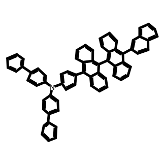 c1ccc(-c2ccc(N(c3ccc(-c4ccccc4)cc3)c3ccc(-c4c5ccccc5c(-c5c6ccccc6c(-c6ccc7ccccc7c6)c6ccccc56)c5ccccc45)cc3)cc2)cc1